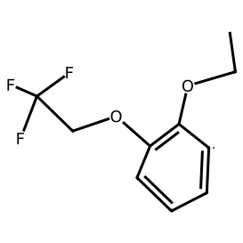 CCOc1[c]cccc1OCC(F)(F)F